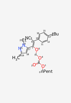 CCCCCOC(=O)OCO/C(=C(/C#N)c1ccc(C(C)(C)C)cc1)c1cc(C)nn1CC